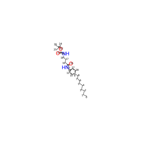 CCCCCCCCCc1ccc(NC(=O)CCCNC(=O)OC(C)(C)C)cc1